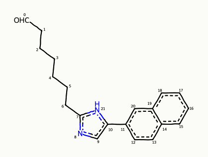 O=CCCCCCCc1ncc(-c2ccc3ccccc3c2)[nH]1